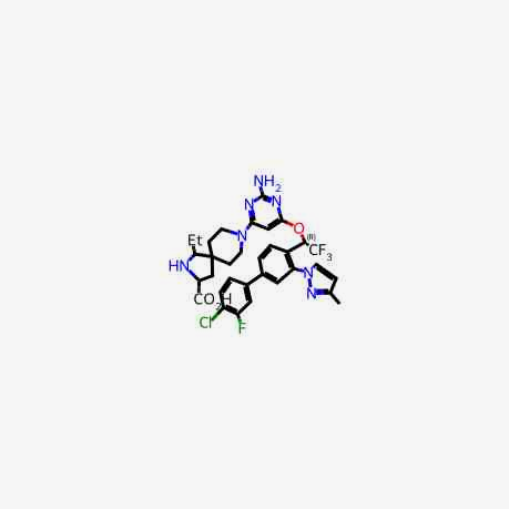 CCC1NC(C(=O)O)CC12CCN(c1cc(O[C@H](c3ccc(-c4ccc(Cl)c(F)c4)cc3-n3ccc(C)n3)C(F)(F)F)nc(N)n1)CC2